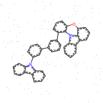 c1cc(-c2cccc(-n3c4ccccc4c4ccccc43)c2)cc(-c2cccc3c2-n2c4ccccc4c4cccc(c42)O3)c1